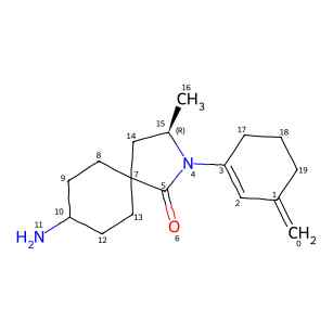 C=C1C=C(N2C(=O)C3(CCC(N)CC3)C[C@H]2C)CCC1